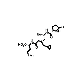 CC[C@H](C)[C@@H](CN(CC(=O)N[C@@H](CCSC)C(=O)O)CC1CC1)NC(=O)[C@@H]1CCC(=O)N1